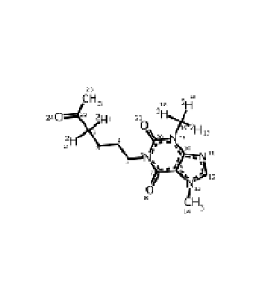 [2H]C([2H])(CCCn1c(=O)c2c(ncn2C)n(C([2H])([2H])[2H])c1=O)C(C)=O